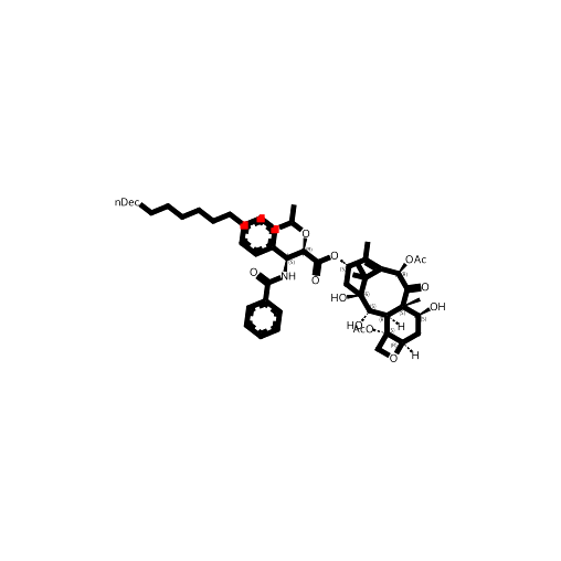 CCCCCCCCCCCCCCCCCCOC(C)O[C@@H](C(=O)O[C@H]1C[C@@]2(O)[C@@H](O)[C@@H]3[C@]4(OC(C)=O)CO[C@@H]4C[C@H](O)[C@@]3(C)C(=O)[C@H](OC(C)=O)C(=C1C)C2(C)C)[C@@H](NC(=O)c1ccccc1)c1ccccc1